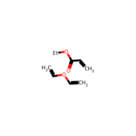 C=CC(=O)OCC.C=COC=C